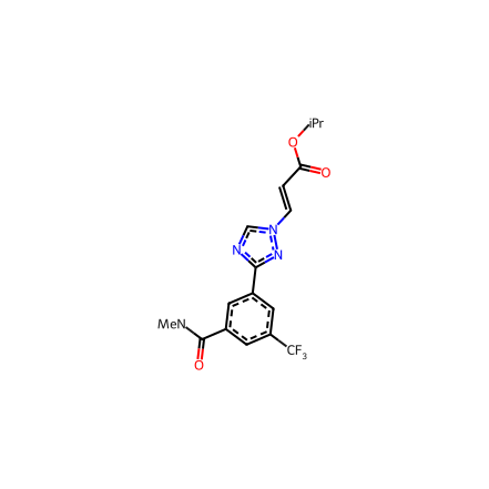 CNC(=O)c1cc(-c2ncn(/C=C/C(=O)OC(C)C)n2)cc(C(F)(F)F)c1